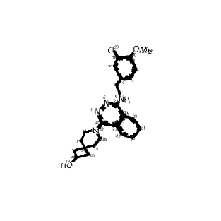 COc1ccc(CNc2nnc(N3CCC4(CC3)CC(O)C4)c3ccccc23)cc1Cl